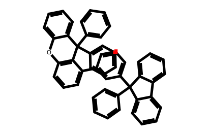 c1ccc(C2(c3cccc(-c4cccc5c4C(c4ccccc4)(c4ccccc4)c4ccccc4O5)c3)c3ccccc3-c3ccccc32)cc1